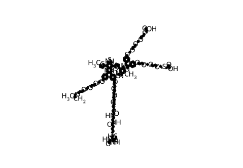 C=C(C)CSCCOCCOCCOCCOc1ccc(-c2nc3c(-c4ccc(C)s4)c4nsnc4c(-c4ccc(-c5c6nsnc6c(C)c6nc(-c7ccc(OCCOCCOCCOCCSCC(=O)O)cc7)c(-c7ccc(OCCOCCOCCOCCSCC(=O)O)cc7)nc56)s4)c3nc2-c2ccc(OCCOCCOCCOCCSCC(=O)NCCNC(=O)CCCC[C@@H]3SC[C@@H]4NC(=O)N[C@@H]43)cc2)cc1